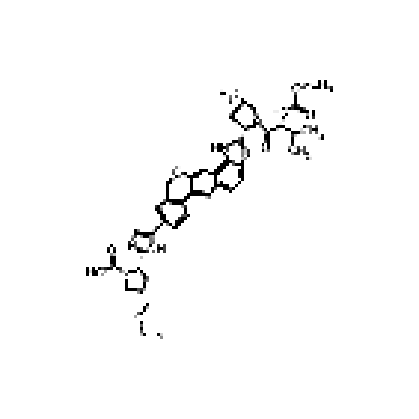 COC[C@H]1C[C@@H](c2ncc(-c3ccc4c(c3)COc3cc5c(ccc6nc([C@@H]7C[C@H](C)CN7C(=O)[C@@H](NC(=O)OC)C(C)C)[nH]c65)cc3-4)[nH]2)N(C(=O)O)C1